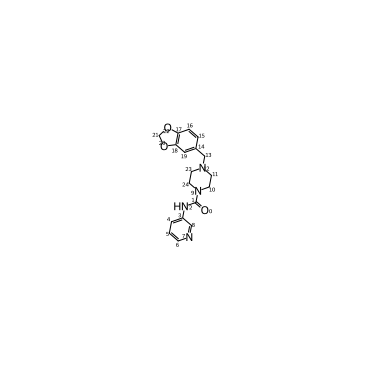 O=C(Nc1cccnc1)N1CCN(Cc2ccc3c(c2)OCO3)CC1